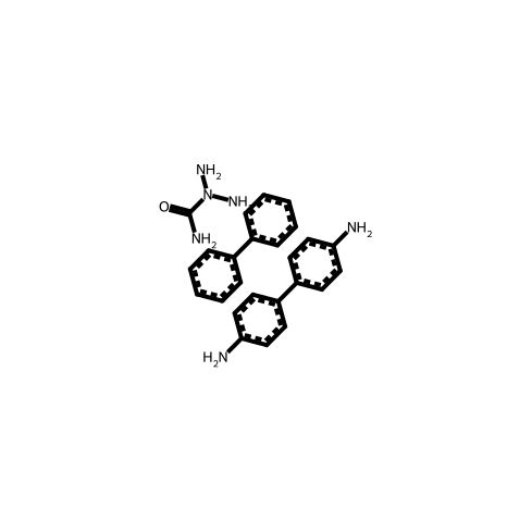 NC(=O)N(N)N.Nc1ccc(-c2ccc(N)cc2)cc1.c1ccc(-c2ccccc2)cc1